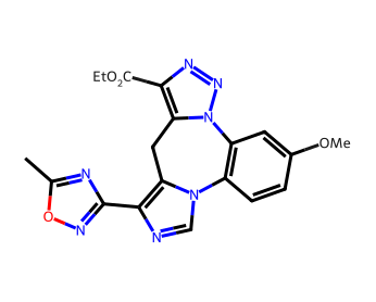 CCOC(=O)c1nnn2c1Cc1c(-c3noc(C)n3)ncn1-c1ccc(OC)cc1-2